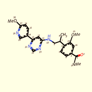 CNC(=O)c1ccc(C(C)CNc2cc(-c3ccc(OC)nc3)ncn2)c(OC)c1